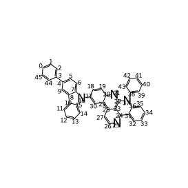 c1ccc(-c2ccc3c(c2)c2ccccc2n3-c2ccc3nc4c5c(nccc5c3c2)-c2ccccc2N4c2ccccc2)cc1